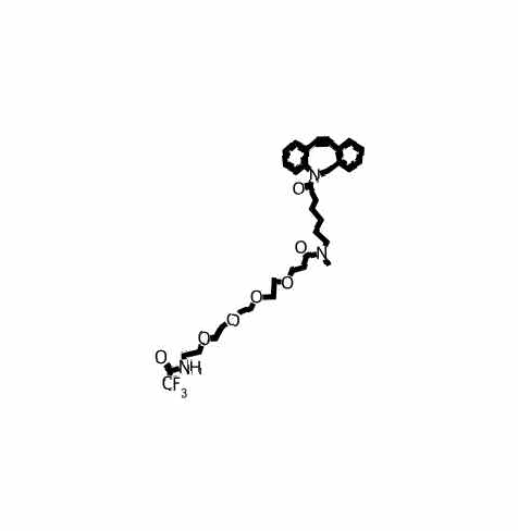 CN(CCCCCC(=O)N1Cc2ccccc2C#Cc2ccccc21)C(=O)CCOCCOCCOCCOCCNC(=O)C(F)(F)F